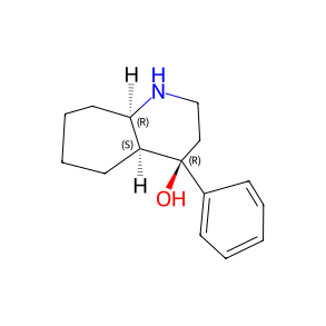 O[C@]1(c2ccccc2)CCN[C@@H]2CCCC[C@@H]21